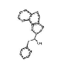 OC(Cc1ccccn1)c1ccc2ccc3cccnc3c2n1